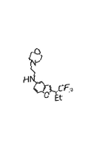 CCC(c1cc2cc(NCCN3CCOCC3)ccc2o1)C(F)(F)F